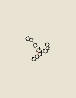 CC1(c2nc(-c3ccc(-c4ccc5ccccc5c4)cc3)nc(-c3ccc4ccccc4c3)n2)c2c(oc3ccccc23)C=CC1c1ccccc1